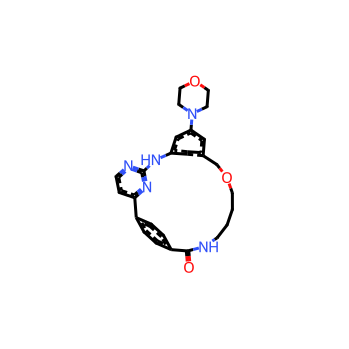 O=C1NCCCCOCc2cc(cc(N3CCOCC3)c2)Nc2nccc(n2)-c2ccc1cc2